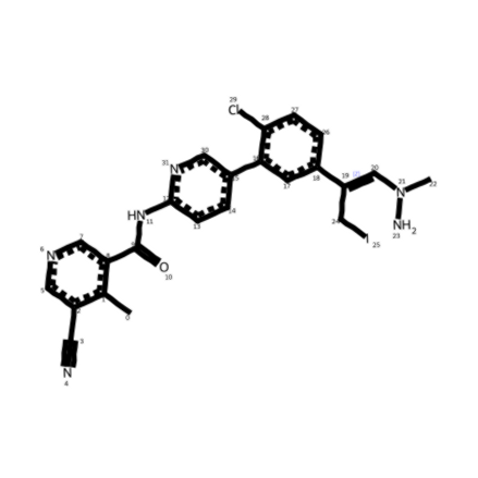 Cc1c(C#N)cncc1C(=O)Nc1ccc(-c2cc(/C(=C/N(C)N)CI)ccc2Cl)cn1